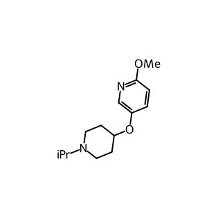 COc1ccc(OC2CCN(C(C)C)CC2)cn1